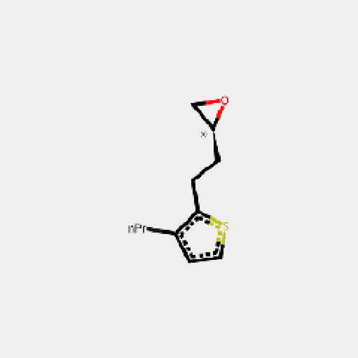 CCCc1ccsc1CC[C@H]1CO1